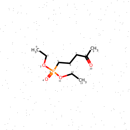 CCOP(=O)(CCCC(C)=O)OCC